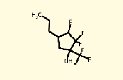 CCCC1CC(O)(C(F)(F)F)C(F)(F)C1F